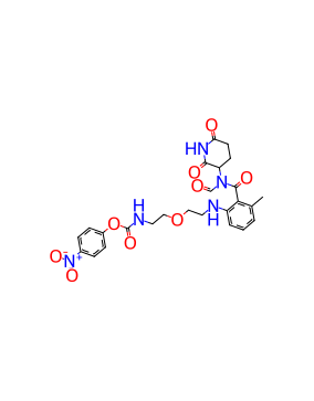 Cc1cccc(NCCOCCNC(=O)Oc2ccc([N+](=O)[O-])cc2)c1C(=O)N(C=O)C1CCC(=O)NC1=O